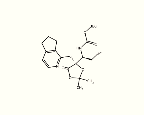 CC(C)C[C@H](NC(=O)OC(C)(C)C)[C@@]1(Cc2nccc3c2CCC3)OC(C)(C)OC1=O